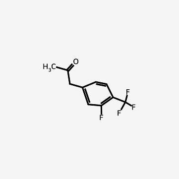 CC(=O)Cc1ccc(C(F)(F)F)c(F)c1